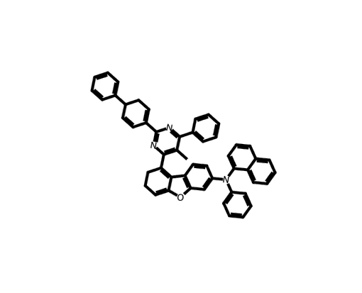 Cc1c(C2=c3c(oc4cc(N(c5ccccc5)c5cccc6ccccc56)ccc34)=CCC2)nc(C2=CCC(c3ccccc3)C=C2)nc1-c1ccccc1